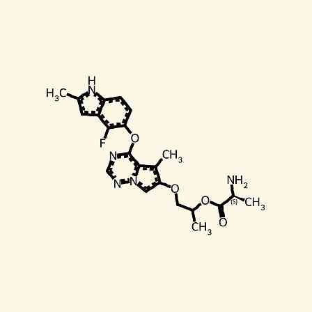 Cc1cc2c(F)c(Oc3ncnn4cc(OCC(C)OC(=O)[C@H](C)N)c(C)c34)ccc2[nH]1